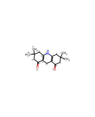 CC1(C)CC(=O)C2=C(C1)NC1=C(C2)C(=O)CC(C)(C)C1